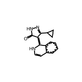 O=C1NN=C(C2CC2)/C1=C1/NC=Cc2ccccc21